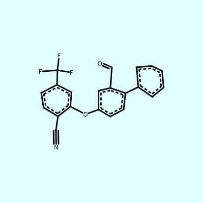 N#Cc1ccc(C(F)(F)F)cc1Oc1ccc(-c2ccccc2)c(C=O)c1